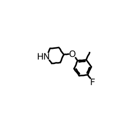 Cc1cc(F)ccc1OC1CCNCC1